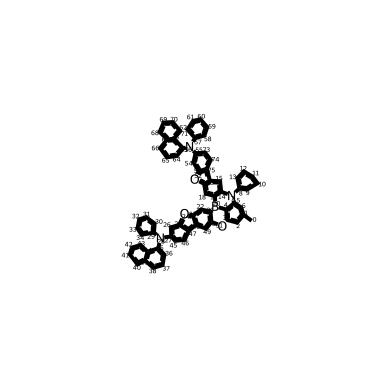 Cc1cc2c3c(c1)N(c1ccccc1)c1cc4c(cc1B3c1cc3oc5cc(N(c6ccccc6)c6cccc7ccccc67)ccc5c3cc1O2)oc1cc(N(c2ccccc2)c2cccc3ccccc23)ccc14